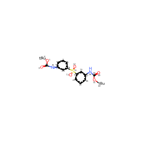 CC(C)(C)OC(=O)Nc1cccc(S(=O)(=O)c2cccc(NC(=O)OC(C)(C)C)c2)c1